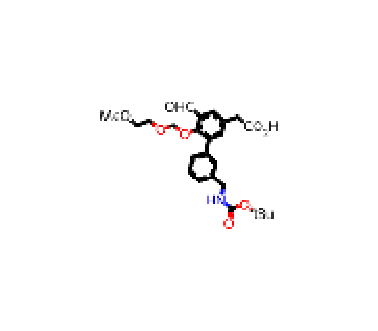 COCCOCOc1c(C=O)cc(CC(=O)O)cc1-c1cccc(CNC(=O)OC(C)(C)C)c1